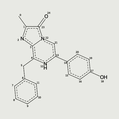 Cc1nc2c(Cc3ccccc3)[nH]c(-c3ccc(O)cc3)cn-2c1=O